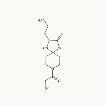 CSCCC1NC2(CCN(C(=O)CC(C)C)CC2)[N]C1=O